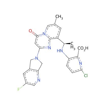 Cc1cc([C@@H](C)Nc2ccc(Cl)nc2C(=O)O)c2nc(N3Cc4cc(F)cnc4C3)cc(=O)n2c1